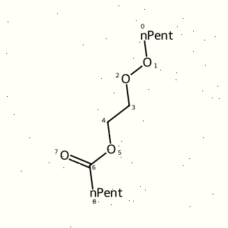 CCCCCOOCCOC(=O)CCCCC